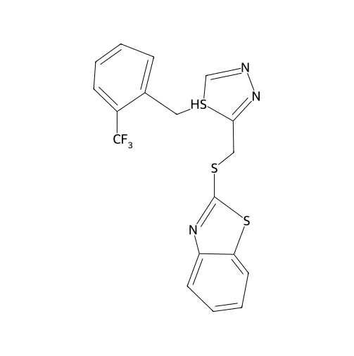 FC(F)(F)c1ccccc1C[SH]1C=NN=C1CSc1nc2ccccc2s1